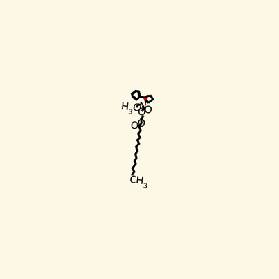 CCCCCCCCCCCCCCCC(=O)OCCOC(=O)N(CC)C1C2CCC(C2)C1c1ccccc1